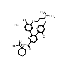 CN(C)CCCOc1cc(-c2nc(C(=O)NC3(C(=O)O)CCCCC3)ccc2-c2ncc(F)cc2Cl)ccc1Cl.Cl